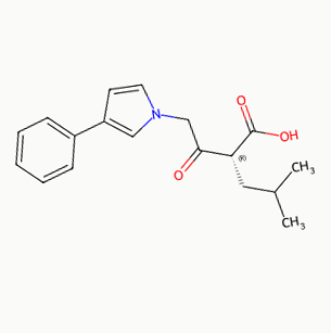 CC(C)C[C@@H](C(=O)O)C(=O)Cn1ccc(-c2ccccc2)c1